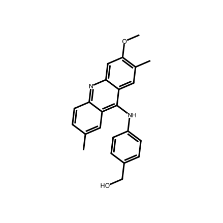 COc1cc2nc3ccc(C)cc3c(Nc3ccc(CO)cc3)c2cc1C